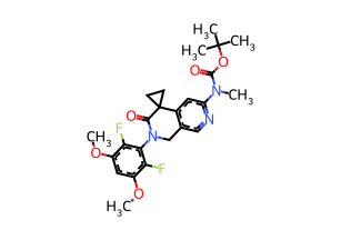 COc1cc(OC)c(F)c(N2Cc3cnc(N(C)C(=O)OC(C)(C)C)cc3C3(CC3)C2=O)c1F